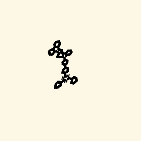 c1ccc(-c2nc(-c3ccccc3)nc(-c3ccc(-c4ccc(-n5c6ccccc6c6c7cc8c9ccccc9c9ccccc9n8c7ccc65)cc4)cc3)n2)cc1